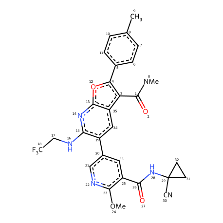 CNC(=O)c1c(-c2ccc(C)cc2)oc2nc(NCC(F)(F)F)c(-c3cnc(OC)c(C(=O)NC4(C#N)CC4)c3)cc12